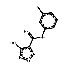 N=C(Nc1cccc(I)c1)c1nonc1O